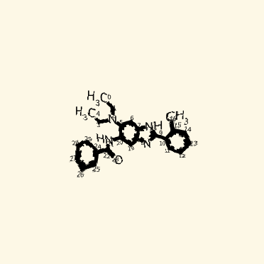 CCN(CC)c1cc2[nH]c(-c3ccccc3C)nc2cc1NC(=O)c1ccccc1